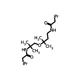 CC(C)CC(=O)NCCC(C)(C)OCC(C)(C)NC(=O)CC(C)C